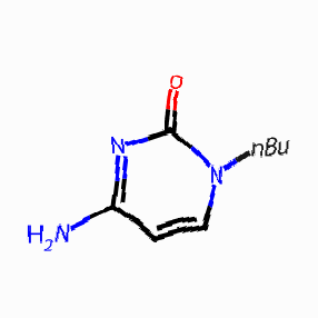 CCCCn1ccc(N)nc1=O